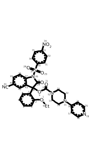 CCOc1ccccc1C1(OC(=O)N2CCN(c3ccncc3)CC2)C(=O)N(S(=O)(=O)c2ccc([N+](=O)[O-])cc2)c2ccc(C#N)cc21